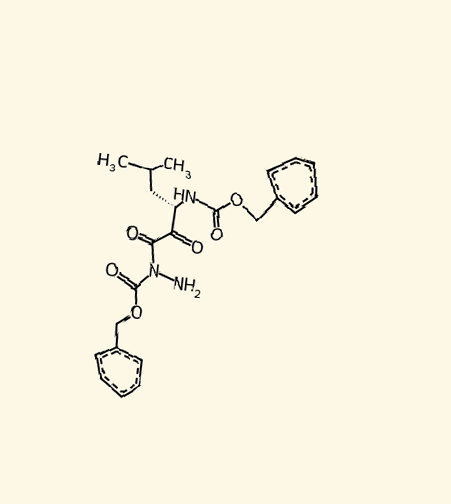 CC(C)C[C@H](NC(=O)OCc1ccccc1)C(=O)C(=O)N(N)C(=O)OCc1ccccc1